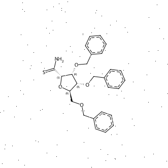 NC(=S)[C@H]1O[C@H](COCc2ccccc2)[C@@H](OCc2ccccc2)[C@H]1OCc1ccccc1